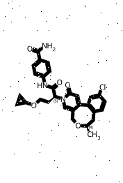 C[C@@H]1Cc2ccc(Cl)cc2-c2cc(=O)n([C@@H](CCOC3CC3)C(=O)Nc3ccc(C(N)=O)cc3)cc2CO1